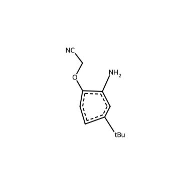 CC(C)(C)c1ccc(OCC#N)c(N)c1